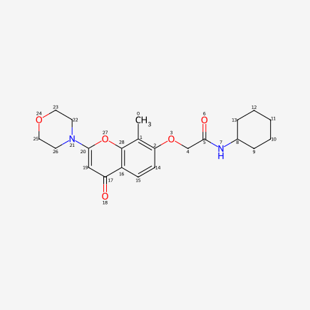 Cc1c(OCC(=O)NC2CCCCC2)ccc2c(=O)cc(N3CCOCC3)oc12